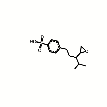 CC(C)C(CCc1ccc(S(=O)(=O)O)cc1)C1CO1